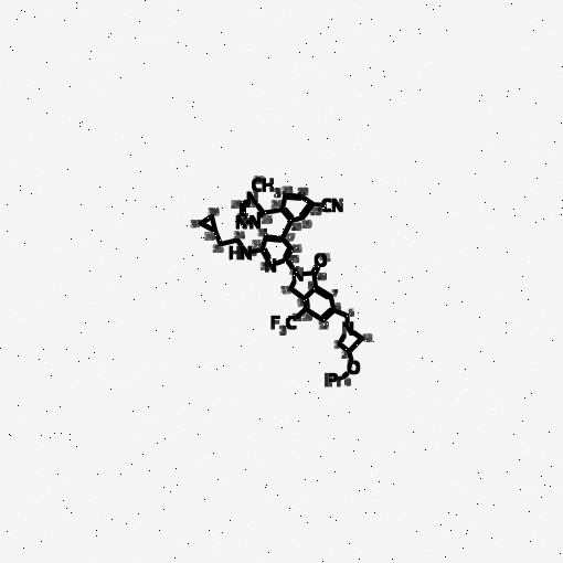 CC(C)OC1CN(Cc2cc3c(c(C(F)(F)F)c2)CN(c2cc(-c4cc(C#N)ccc4-c4nncn4C)cc(NCCC4CC4)n2)C3=O)C1